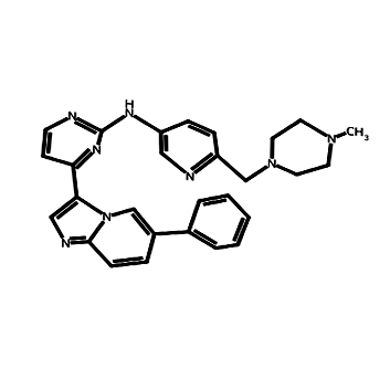 CN1CCN(Cc2ccc(Nc3nccc(-c4cnc5ccc(-c6ccccc6)cn45)n3)cn2)CC1